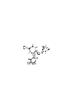 Clc1ccc(Oc2cscn2)c(-c2cn[nH]c2)c1